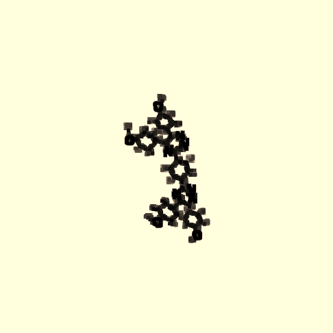 COc1ccc(-c2nnc(-c3ccc(-c4nnc(-c5ccc(OC)cc5)c(-c5ccc(OC)cc5)n4)cc3)nc2-c2ccc(OC)cc2)cc1